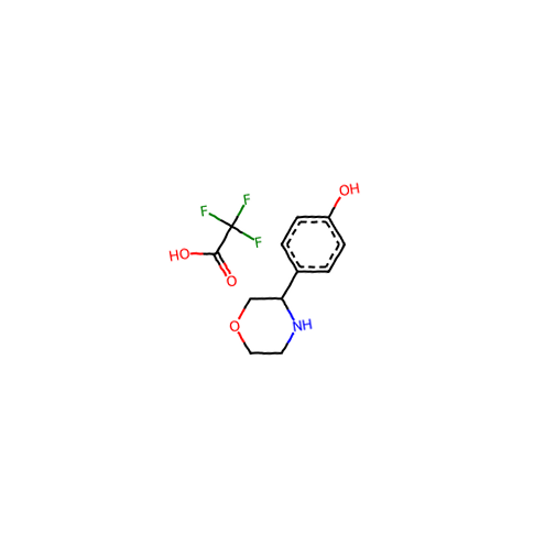 O=C(O)C(F)(F)F.Oc1ccc(C2COCCN2)cc1